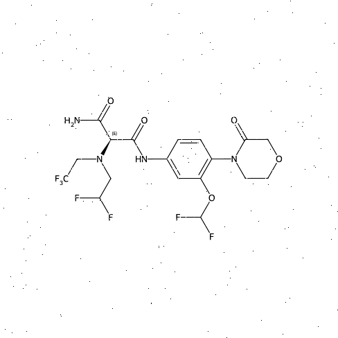 NC(=O)[C@@H](C(=O)Nc1ccc(N2CCOCC2=O)c(OC(F)F)c1)N(CC(F)F)CC(F)(F)F